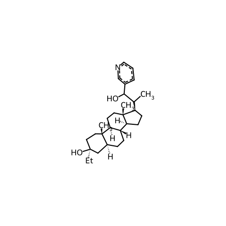 CC[C@]1(O)CC[C@@]2(C)[C@@H](CC[C@@H]3[C@@H]2CC[C@]2(C)[C@@H](C(C)C(O)c4cccnc4)CC[C@@H]32)C1